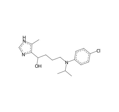 Cc1[nH]cnc1C(O)CCCN(c1ccc(Cl)cc1)C(C)C